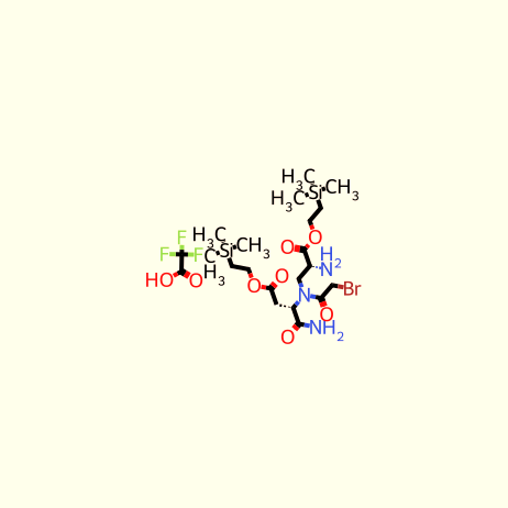 C[Si](C)(C)CCOC(=O)C[C@@H](C(N)=O)N(C[C@@H](N)C(=O)OCC[Si](C)(C)C)C(=O)CBr.O=C(O)C(F)(F)F